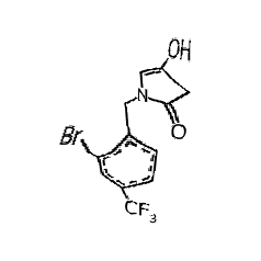 O=C1CC(O)=CN1Cc1ccc(C(F)(F)F)cc1Br